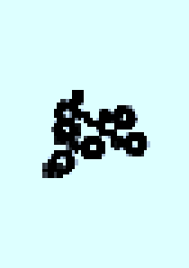 O=c1ccc2cnc(N(c3ccccc3)C3CCNCC3)nc2n1CCC(CCOc1ccccc1)Oc1ccccc1